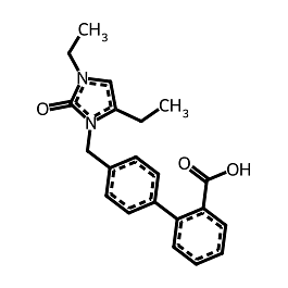 CCc1cn(CC)c(=O)n1Cc1ccc(-c2ccccc2C(=O)O)cc1